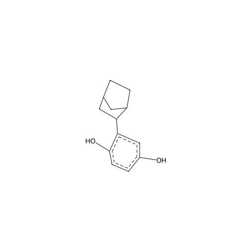 Oc1ccc(O)c(C2CC3CCC2C3)c1